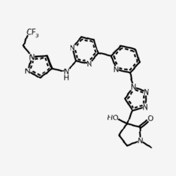 CN1CCC(O)(c2cn(-c3cccc(-c4ccnc(Nc5cnn(CC(F)(F)F)c5)n4)n3)nn2)C1=O